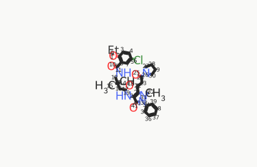 CCOc1ccc(Cl)cc1C(=O)NCC(C)(C)CC(=O)Nc1c(CCC(=O)N2CCCC2)n(C)n(-c2ccccc2)c1=O